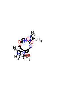 CO[C@@H](C)c1ncccc1-c1c2c3cc(ccc3n1C[C@@H](C)O)C1CSC(=N1)C[C@H](NC(=O)[C@H]1[C@H](C)[C@@H]1C)C(=O)N1CCC[C@H](N1)C(=O)OCC(C)(C)C2